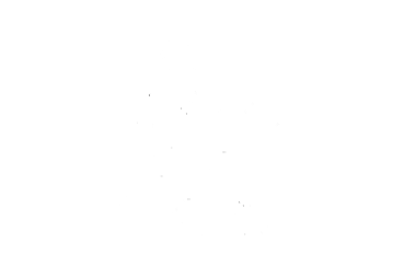 CC1(C)OB(c2cc(-c3ccccc3-c3ccc(-c4ccccn4)cc3)cc(-c3ccccc3-c3cnc(-c4ccccc4)cc3-c3ccccc3)c2)OC1(C)C